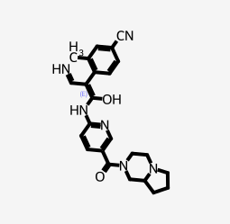 Cc1cc(C#N)ccc1/C(C=N)=C(\O)Nc1ccc(C(=O)N2CCN3CCCC3C2)cn1